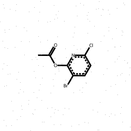 CC(=O)Oc1nc(Cl)ccc1Br